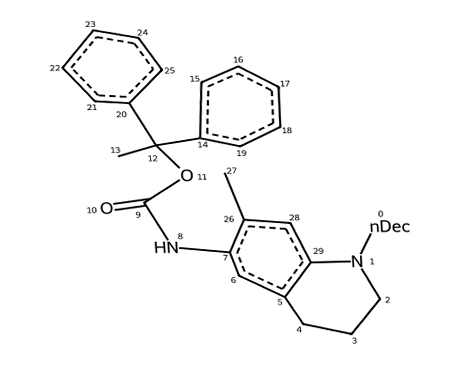 CCCCCCCCCCN1CCCc2cc(NC(=O)OC(C)(c3ccccc3)c3ccccc3)c(C)cc21